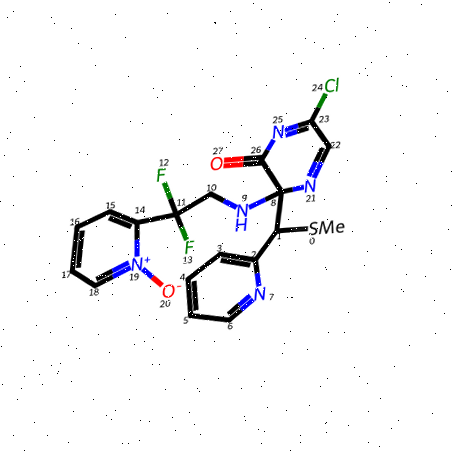 CSC(c1ccccn1)C1(NCC(F)(F)c2cccc[n+]2[O-])N=CC(Cl)=NC1=O